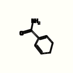 NC(=O)C1=CCCC=C1